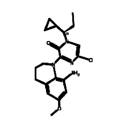 Bc1cc(OC)cc2c1N(c1nc(Cl)cn([C@H](CC)C3CC3)c1=O)CCC2